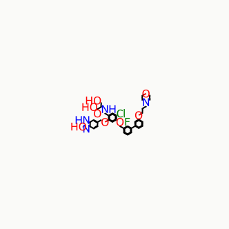 N=C1C=C(COc2cc(OCc3cccc(-c4cccc(OCCCN5CCOCC5)c4)c3F)c(Cl)cc2CNC(CO)C(=O)O)C=C/C1=N/O